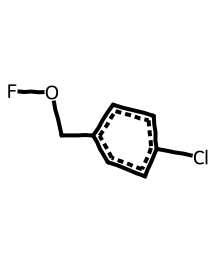 FOCc1ccc(Cl)cc1